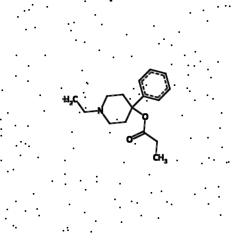 [CH2]CN1CCC(OC(=O)CC)(c2ccccc2)CC1